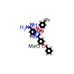 COc1cc(C(CNS(=O)(=O)c2ccc(C(C)C)cc2)Nc2ccc(C(=N)N)cc2)ccc1OCc1ccccc1